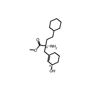 COC(=O)[C@@](N)(CCC1CCCCC1)CC1=C[C@H](O)CCC1